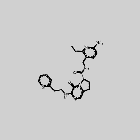 CCc1nc(N)ccc1CNC(=O)[C@@H]1CCc2cnc(NCCc3ccccn3)c(=O)n21